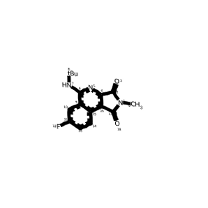 CN1C(=O)c2nc(NC(C)(C)C)c3cc(F)ccc3c2C1=O